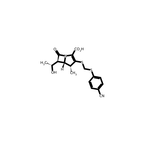 C[C@@H](O)[C@H]1C(=O)N2C(C(=O)O)=C(SCSc3ccc(C#N)cc3)[C@H](C)[C@H]12